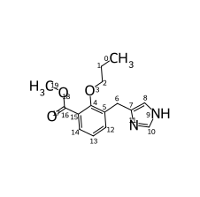 CCCOc1c(Cc2c[nH]cn2)cccc1C(=O)OC